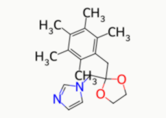 Cc1c(C)c(C)c(CC2(Cn3ccnc3)OCCO2)c(C)c1C